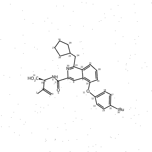 C=C(C)[C@H](NC(=O)c1cc2c(Oc3ccc(C(C)(C)C)cc3)cccc2c(CC2CCCC2)n1)C(=O)O